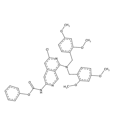 COc1ccc(CN(Cc2ccc(OC)cc2OC)c2nc(Cl)cc3cc(NC(=O)Oc4ccccc4)ncc23)c(OC)c1